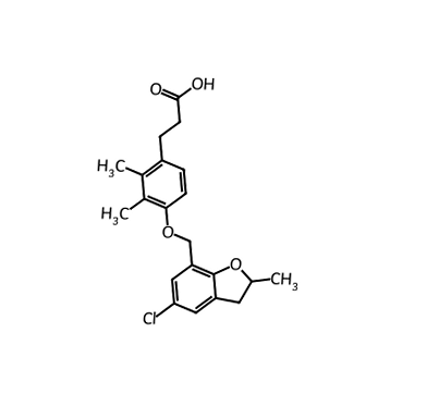 Cc1c(CCC(=O)O)ccc(OCc2cc(Cl)cc3c2OC(C)C3)c1C